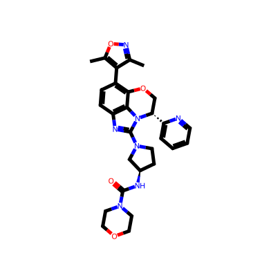 Cc1noc(C)c1-c1ccc2nc(N3CC[C@@H](NC(=O)N4CCOCC4)C3)n3c2c1OC[C@@H]3c1ccccn1